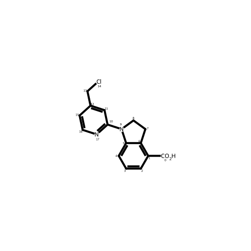 O=C(O)c1cccc2c1CCN2c1cc(CCl)ccn1